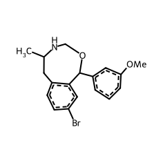 COc1cccc(C2OCNC(C)Cc3ccc(Br)cc32)c1